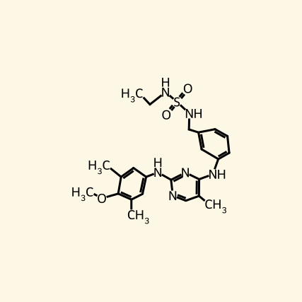 CCNS(=O)(=O)NCc1cccc(Nc2nc(Nc3cc(C)c(OC)c(C)c3)ncc2C)c1